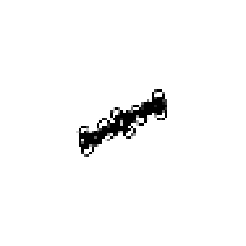 CN1C(=O)c2ccc(C(=O)OC3CC4C(=O)N5CC(OC(=O)c6ccc7c(c6)C(=O)N(C)C7=O)CC5C(=O)N4C3)cc2C1=O